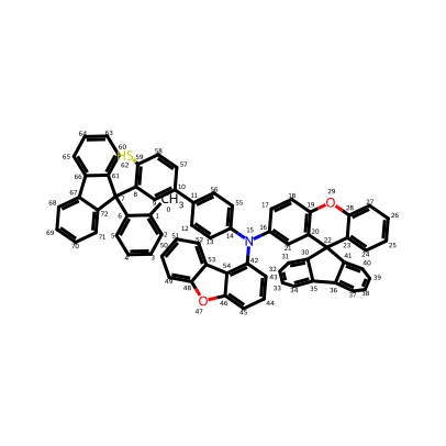 Cc1ccccc1C1(c2cc(-c3ccc(N(c4ccc5c(c4)C4(c6ccccc6O5)c5ccccc5-c5ccccc54)c4cccc5oc6ccccc6c45)cc3)ccc2S)c2ccccc2-c2ccccc21